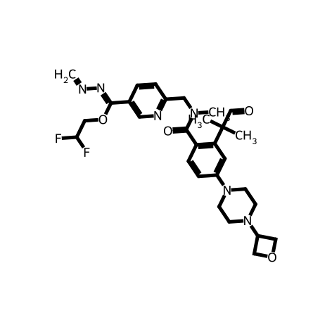 C=N/N=C(\OCC(F)F)c1ccc(CN(C)C(=O)c2ccc(N3CCN(C4COC4)CC3)cc2C(C)(C)C=O)nc1